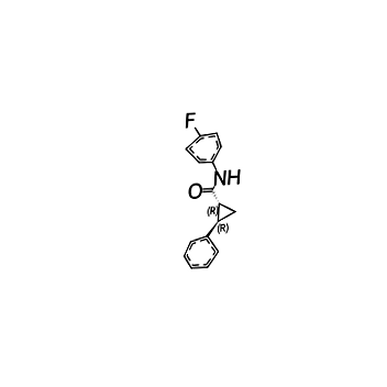 O=C(Nc1ccc(F)cc1)[C@@H]1C[C@H]1c1ccccc1